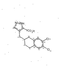 O=C(O)c1[nH]nnc1SC1CCc2cc(Cl)c(Cl)cc2C1